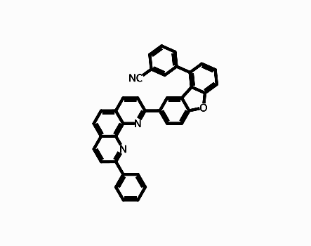 N#Cc1cccc(-c2cccc3oc4ccc(-c5ccc6ccc7ccc(-c8ccccc8)nc7c6n5)cc4c23)c1